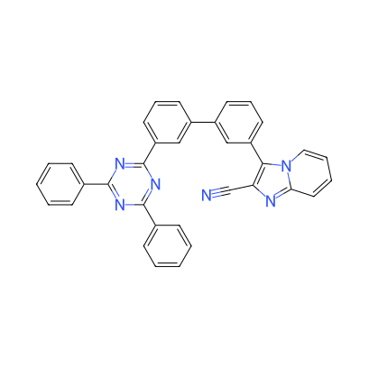 N#Cc1nc2ccccn2c1-c1cccc(-c2cccc(-c3nc(-c4ccccc4)nc(-c4ccccc4)n3)c2)c1